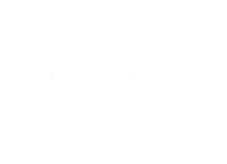 CC1=C(O)CC(c2cccc([SH](c3ccccc3)c3ccccc3)c2)CC1=O